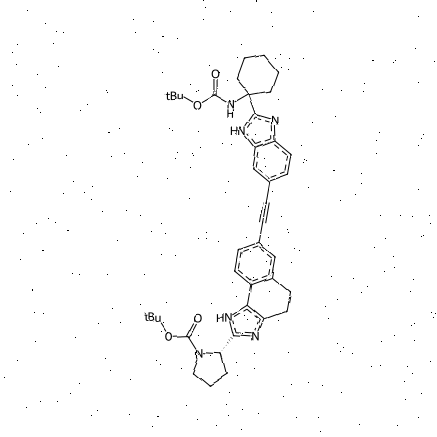 CC(C)(C)OC(=O)NC1(c2nc3ccc(C#Cc4ccc5c(c4)CCc4nc([C@@H]6CCCN6C(=O)OC(C)(C)C)[nH]c4-5)cc3[nH]2)CCCCC1